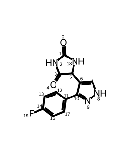 O=C1NC(=O)C(c2c[nH]nc2-c2ccc(F)cc2)N1